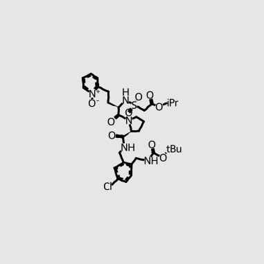 CC(C)OC(=O)CS(=O)(=O)N[C@H](CCc1cccc[n+]1[O-])C(=O)N1CCC[C@H]1C(=O)NCc1cc(Cl)ccc1CNC(=O)OC(C)(C)C